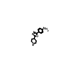 CN1CCC(c2nnc(-c3ccc(N)cc3)o2)CC1